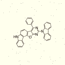 c1ccc(-c2nc(-n3c4ccccc4c4ccccc43)nc3oc4c(ccc5[nH]c6ccccc6c54)c23)cc1